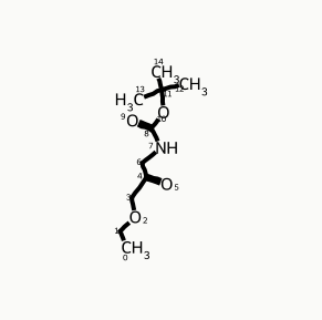 CCOCC(=O)CNC(=O)OC(C)(C)C